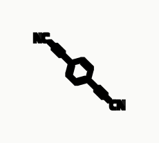 N#CC#Cc1ccc(C#CC#N)cc1